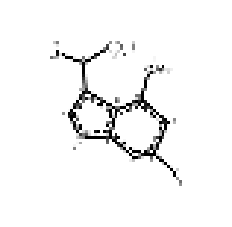 CCC(C(=O)O)c1csc2cc(Cl)cc(OC)c12